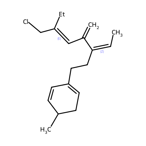 C=C(/C=C(\CC)CCl)/C(=C\C)CCC1=CCC(C)C=C1